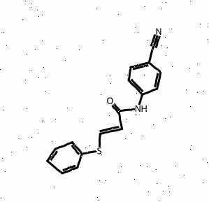 N#Cc1ccc(NC(=O)C=CSc2ccccc2)cc1